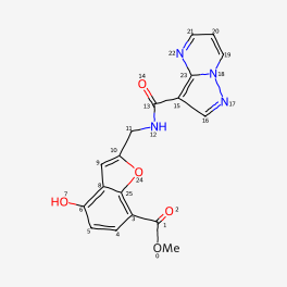 COC(=O)c1ccc(O)c2cc(CNC(=O)c3cnn4cccnc34)oc12